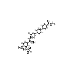 CCOC(=O)c1ccc(-c2ccc(OC[C@@H](C)NC[C@H](O)c3ccc(O)c(NS(C)(=O)=O)c3)cc2)cc1